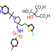 Cc1ccc(S(=O)(=O)NC[C@]2(CCc3ccc(F)s3)CCN(C(C)(C)c3ccc(C)nc3)C2)cc1.O=C(O)CC(O)(CC(=O)O)C(=O)O